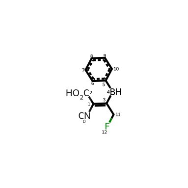 [C-]#[N+]C(C(=O)O)=C(Bc1ccccc1)CF